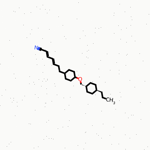 CCC[C@H]1CC[C@H](COC2CCC(CCC=CC=CC#N)CC2)CC1